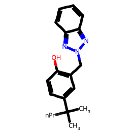 CCCC(C)(C)c1ccc(O)c(Cn2nc3ccccc3n2)c1